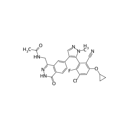 CC(=O)NCc1n[nH]c(=O)c2ccc(-c3cnn(C)c3-c3c(F)c(Cl)cc(OC4CC4)c3C#N)cc12